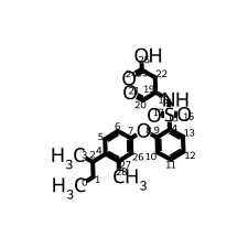 CCC(C)c1ccc(Oc2ccccc2S(=O)(=O)NC(C=O)CC(=O)O)cc1C